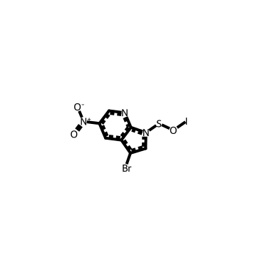 O=[N+]([O-])c1cnc2c(c1)c(Br)cn2SOI